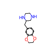 c1cc2c(cc1CC1CNCCN1)OCCO2